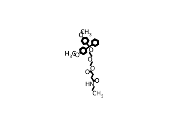 CCCNC(=O)CCC(=O)OCCOCCOC(c1ccccc1)(c1ccc(OC)cc1)c1ccc(OC)cc1